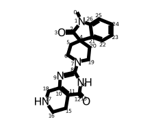 CN1C(=O)C2(CCN(c3nc4c(c(=O)[nH]3)CCNC4)CC2)c2ccccc21